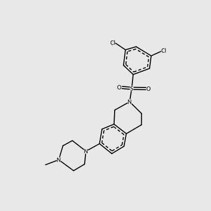 CN1CCN(c2ccc3c(c2)CN(S(=O)(=O)c2cc(Cl)cc(Cl)c2)CC3)CC1